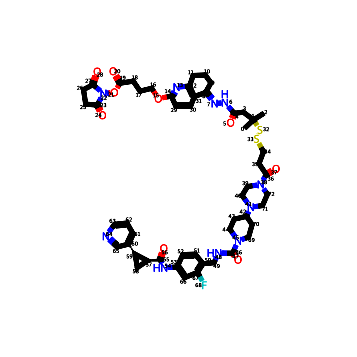 CC(C)(CC(=O)N/N=C1\CCCc2nc(OCCCC(=O)ON3C(=O)CCC3=O)ccc21)SSCCC(=O)N1CCN(C2CCN(C(=O)NCc3ccc(NC(=O)[C@H]4C[C@@H]4c4cccnc4)cc3F)CC2)CC1